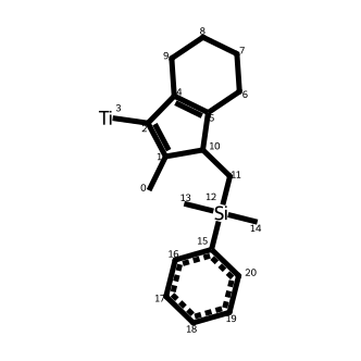 CC1=[C]([Ti])C2=C(CCCC2)C1C[Si](C)(C)c1ccccc1